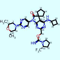 C[C@@H]1CN(c2ncc(N3C(=O)C4(CCCC4)c4c(NC5CCC5)nc(COC(=N)N5CCC[C@@H]5C(F)(F)F)nc43)cn2)C[C@H](C)O1